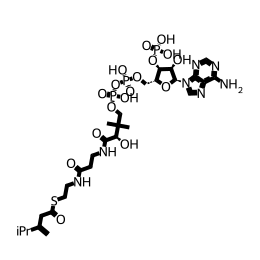 C=C(CC(=O)SCCNC(=O)CCNC(=O)[C@H](O)C(C)(C)COP(=O)(O)OP(=O)(O)OC[C@H]1O[C@@H](n2cnc3c(N)ncnc32)[C@H](O)[C@@H]1OP(=O)(O)O)C(C)C